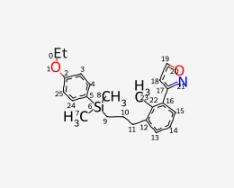 CCOc1ccc([Si](C)(C)CCCc2cccc(-c3ccon3)c2C)cc1